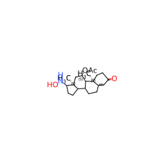 CC(=O)O[C@H]1C[C@]2(C)C(NO)CCC2C2CCC3=CC(=O)CC[C@]3(C)C21